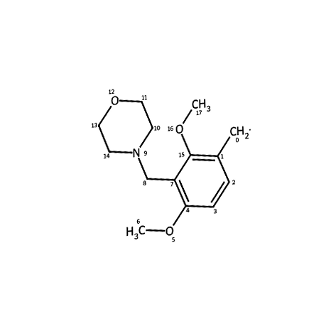 [CH2]c1ccc(OC)c(CN2CCOCC2)c1OC